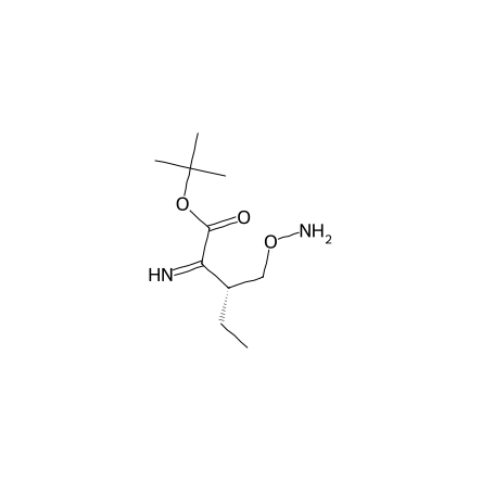 CC[C@@H](CON)C(=N)C(=O)OC(C)(C)C